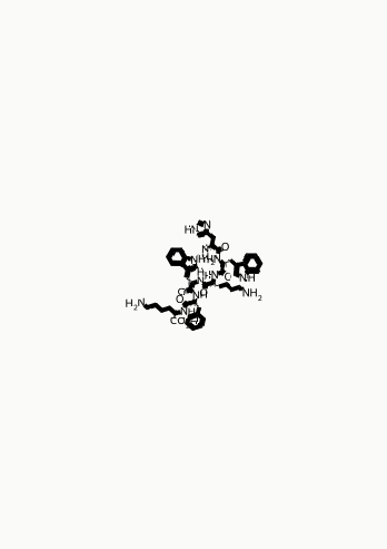 NCCCC[C@H](NC(=O)[C@@H](Cc1ccccc1)NC(=O)[C@H](Cc1c[nH]c2ccccc12)NC(=O)[C@@H](CCCCN)NC(=O)[C@@H](Cc1c[nH]c2ccccc12)NC(=O)[C@@H](N)Cc1c[nH]cn1)C(=O)O